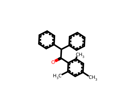 Cc1cc(C)c(C(=O)C(c2ccccc2)c2ccccc2)c(C)c1